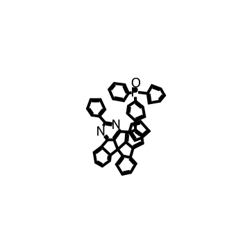 O=P(c1ccccc1)(c1ccccc1)c1ccc(-c2ccc3c(c2)C2(c4ccccc4-3)c3ccccc3-c3nc(-c4ccccc4)nc(-c4ccccc4)c32)cc1